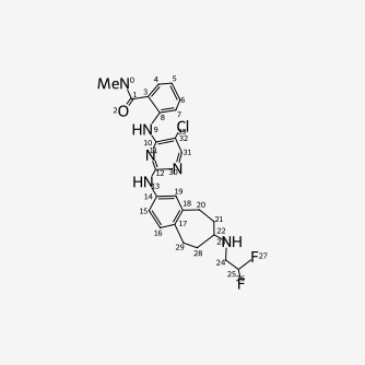 CNC(=O)c1ccccc1Nc1nc(Nc2ccc3c(c2)CCC(NCC(F)F)CC3)ncc1Cl